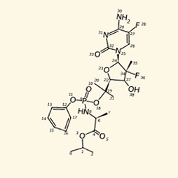 CC(C)OC(=O)[C@H](C)NP(=O)(Oc1ccccc1)OC(C)(C)[C@H]1O[C@@H](n2cc(F)c(N)nc2=O)[C@](C)(F)C1O